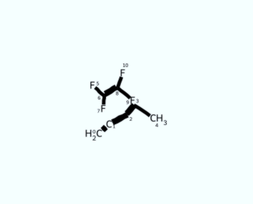 C=C=C=CC.FC(F)=C(F)F